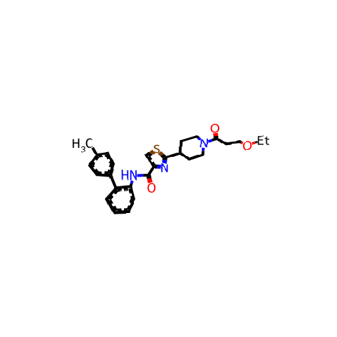 CCOCCC(=O)N1CCC(c2nc(C(=O)Nc3ccccc3-c3ccc(C)cc3)cs2)CC1